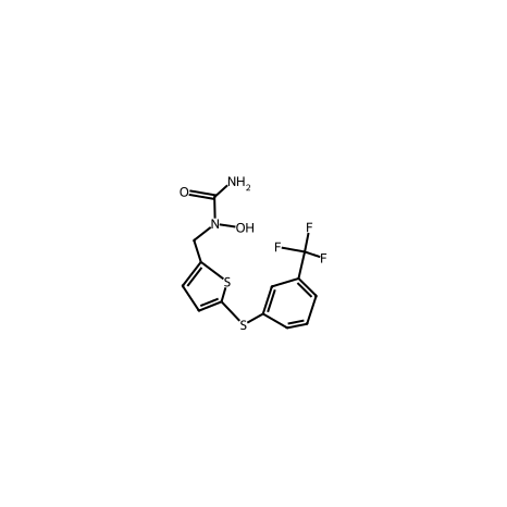 NC(=O)N(O)Cc1ccc(Sc2cccc(C(F)(F)F)c2)s1